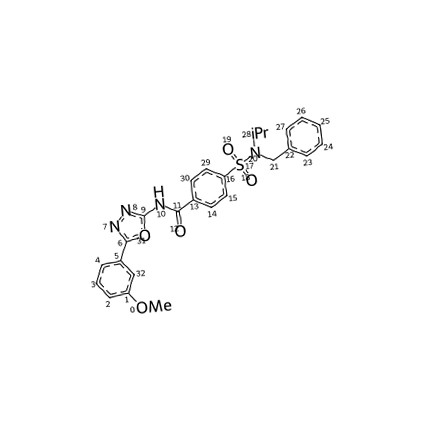 COc1cccc(-c2nnc(NC(=O)c3ccc(S(=O)(=O)N(Cc4ccccc4)C(C)C)cc3)o2)c1